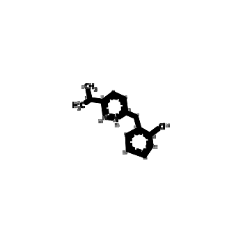 CC(C)c1ccc(Cc2ccccc2Cl)nn1